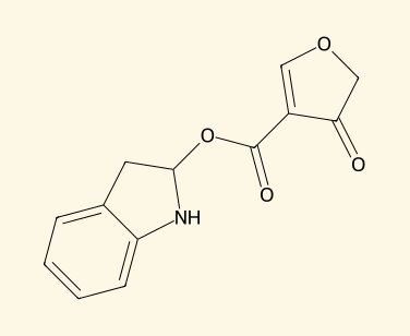 O=C1COC=C1C(=O)OC1Cc2ccccc2N1